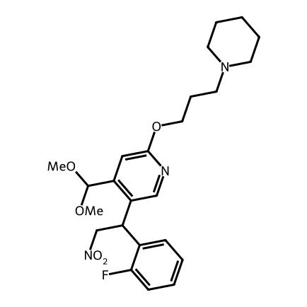 COC(OC)c1cc(OCCCN2CCCCC2)ncc1C(C[N+](=O)[O-])c1ccccc1F